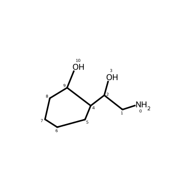 NCC(O)C1CCCCC1O